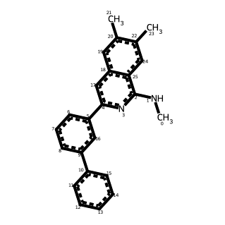 CNc1nc(-c2cccc(-c3ccccc3)c2)cc2cc(C)c(C)cc12